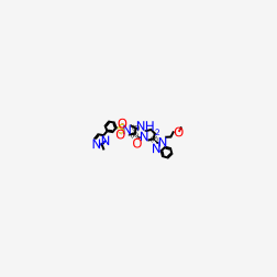 COCCCn1c([C@@H]2CCCN(C(=O)[C@@H]3CN(S(=O)(=O)c4cccc(-c5ccnc(C)n5)c4)C[C@H]3N)C2)nc2ccccc21